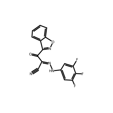 N#CC(=NNc1cc(F)c(F)c(F)c1)C(=O)c1noc2ccccc12